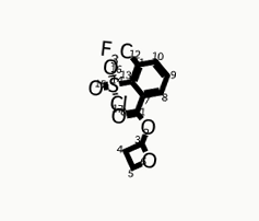 O=C(OC1CCO1)c1cccc(C(F)(F)F)c1S(=O)(=O)Cl